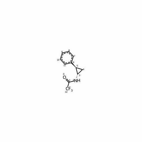 O=C(N[C@H]1C[C@@H]1c1ccccc1)C(F)(F)F